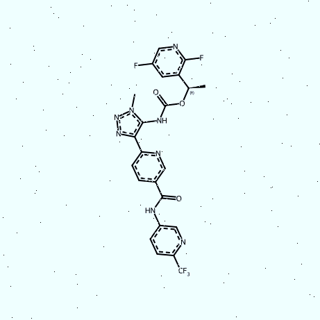 C[C@@H](OC(=O)Nc1c(-c2ccc(C(=O)Nc3ccc(C(F)(F)F)nc3)cn2)nnn1C)c1cc(F)cnc1F